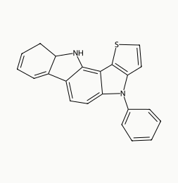 C1=CCC2Nc3c(ccc4c3c3sccc3n4-c3ccccc3)C2=C1